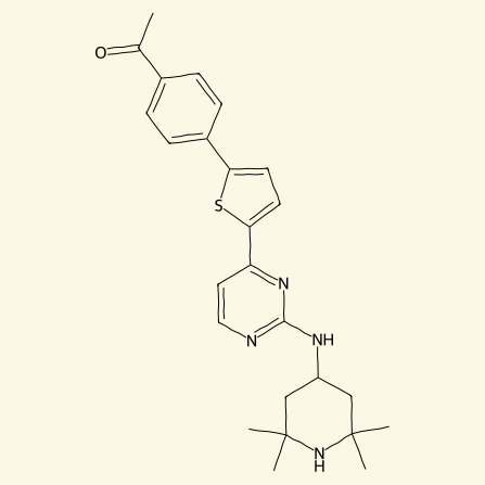 CC(=O)c1ccc(-c2ccc(-c3ccnc(NC4CC(C)(C)NC(C)(C)C4)n3)s2)cc1